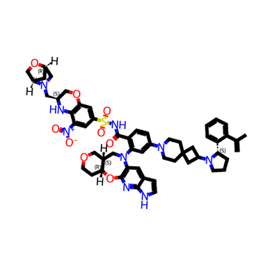 C=C(C)c1ccccc1[C@@H]1CCCN1C1CC2(CCN(c3ccc(C(=O)NS(=O)(=O)c4cc5c(c([N+](=O)[O-])c4)N[C@@H](CN4C[C@H]6C[C@@H]4CO6)CO5)c(N4C[C@H]5COCC[C@H]5Oc5nc6[nH]ccc6cc54)c3)CC2)C1